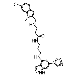 Cn1c(CNCCC(=O)NCCCNc2cc(-n3cnnc3)cc3[nH]ncc23)cc2ccc(Cl)cc21